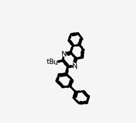 CC(C)(C)c1nc2c(ccc3ccccc32)nc1-c1cccc(-c2ccccc2)c1